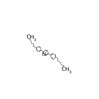 CCCCCCc1ccc(-c2ccc(-c3ccc(CCCCCC)cc3)nc2)cc1